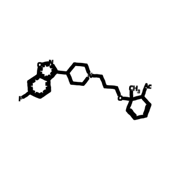 CC(=O)C1C=CC=CC1(C)OCCCN1CCC(c2noc3cc(F)ccc23)CC1